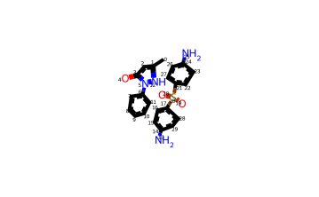 Cc1cc(=O)n(-c2ccccc2)[nH]1.Nc1ccc(S(=O)(=O)c2ccc(N)cc2)cc1